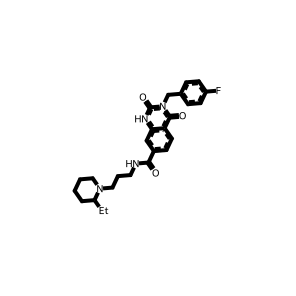 CCC1CCCCN1CCCNC(=O)c1ccc2c(=O)n(Cc3ccc(F)cc3)c(=O)[nH]c2c1